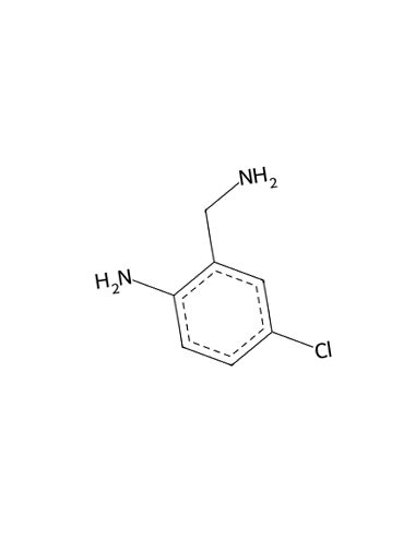 NCc1cc(Cl)ccc1N